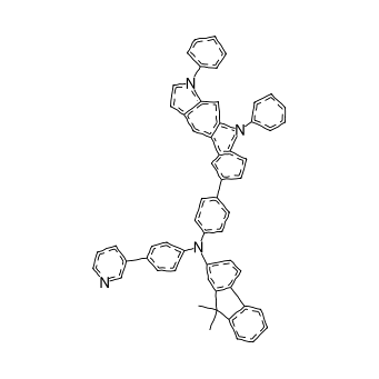 CC1(C)c2ccccc2-c2ccc(N(c3ccc(-c4cccnc4)cc3)c3ccc(-c4ccc5c(c4)c4cc6ccn(-c7ccccc7)c6cc4n5-c4ccccc4)cc3)cc21